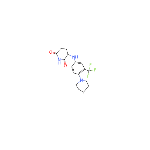 O=C1CCC(Nc2ccc(N3CC[CH]CC3)c(C(F)(F)F)c2)C(=O)N1